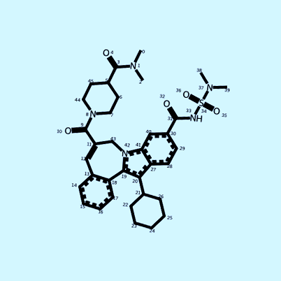 CN(C)C(=O)C1CCN(C(=O)C2=Cc3ccccc3-c3c(C4CCCCC4)c4ccc(C(=O)NS(=O)(=O)N(C)C)cc4n3C2)CC1